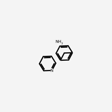 N.c1cc2cc(c1)C2.c1ccncc1